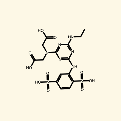 CCNc1nc(Nc2cc(S(=O)(=O)O)ccc2S(=O)(=O)O)nc(N(CC(=O)O)CC(=O)O)n1